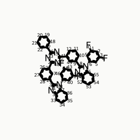 Fc1cc(F)cc(-n2c(-c3cccc(-c4nc(-c5ccccc5)nc(-c5cccc(-c6nc7ccccc7n6-c6cc(F)cc(F)c6)c5)n4)c3)nc3ccccc32)c1